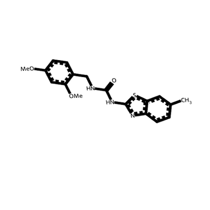 COc1ccc(CNC(=O)Nc2nc3ccc(C)cc3s2)c(OC)c1